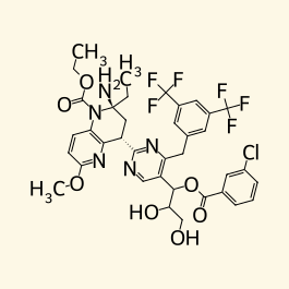 CCOC(=O)N1c2ccc(OC)nc2[C@@H](c2ncc(C(OC(=O)c3cccc(Cl)c3)C(O)CO)c(Cc3cc(C(F)(F)F)cc(C(F)(F)F)c3)n2)C[C@@]1(N)CC